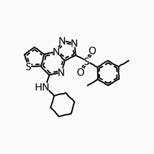 Cc1ccc(C)c(S(=O)(=O)c2nnn3c2nc(NC2CCCCC2)c2sccc23)c1